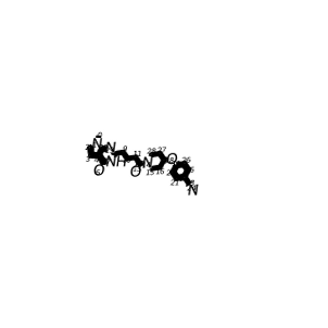 Cn1ccc2c(=O)[nH]c(CCCC(=O)N3CCC(Oc4ccc(C#N)cc4)CC3)nc21